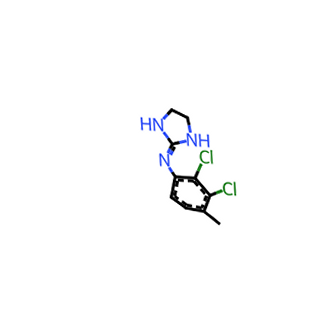 Cc1ccc(N=C2NCCN2)c(Cl)c1Cl